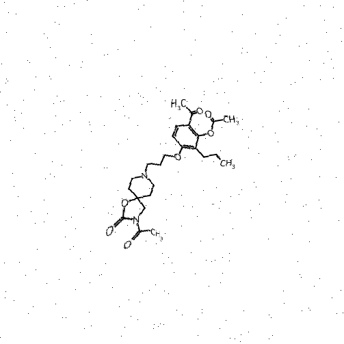 CCCc1c(OCCCN2CCC3(CC2)CN(C(C)=O)C(=O)O3)ccc(C(C)=O)c1OC(C)=O